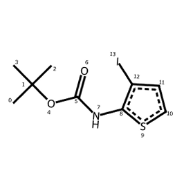 CC(C)(C)OC(=O)Nc1sccc1I